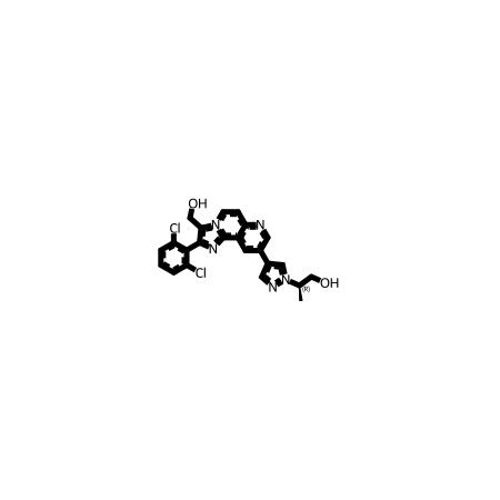 C[C@H](CO)n1cc(-c2cnc3ccn4c(CO)c(-c5c(Cl)cccc5Cl)nc4c3c2)cn1